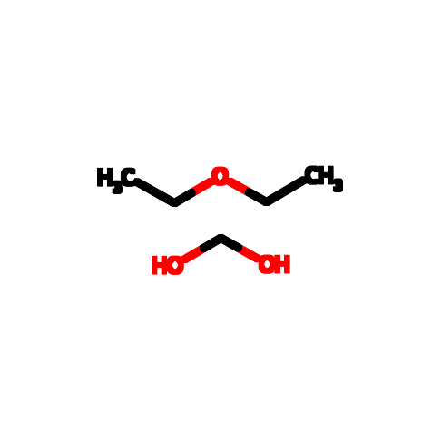 CCOCC.OCO